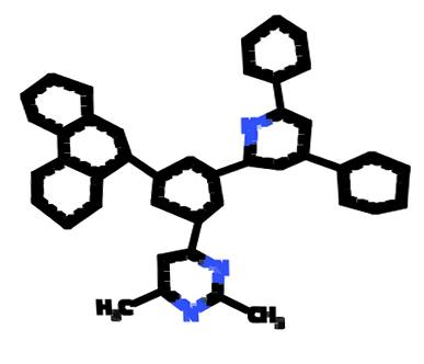 Cc1cc(-c2cc(-c3cc(-c4ccccc4)cc(-c4ccccc4)n3)cc(-c3cc4ccccc4c4ccccc34)c2)nc(C)n1